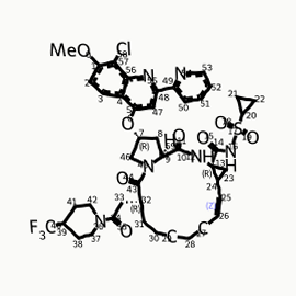 COc1ccc2c(O[C@@H]3C[C@H]4C(=O)N[C@]5(C(=O)NS(=O)(=O)C6CC6)CC5/C=C\CCCCC[C@H](CC(=O)N5CCC(C(F)(F)F)CC5)C(=O)N4C3)cc(-c3ccccn3)nc2c1Cl